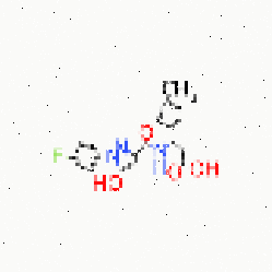 Cc1ccc(C(CC(=O)O)NC(=O)c2cc(O)n(-c3ccc(F)cc3)n2)cc1